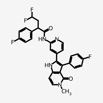 Cn1ccc2[nH]c(-c3ccnc(NC(=O)C(CC(F)F)c4ccc(F)cc4)c3)c(-c3ccc(F)cc3)c2c1=O